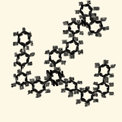 c1ccc(-c2ccc(-c3cccc(-c4cccc(-c5nc(-c6ccc(-c7cccc(-c8cccc(-c9ccccc9)c8)c7)cc6)nc(-c6cccc(-c7cccc(-c8cccc(-n9c%10ccccc%10c%10ccccc%109)c8)c7)c6)n5)c4)c3)cc2)cc1